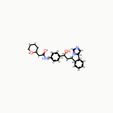 O=C(CC1CCCCO1)Nc1ccc(C(O)CC2c3ccccc3-c3cncn32)cc1